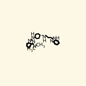 CN(C)c1nc(N[C@H]2CC[C@@H](CNCCCc3nc4ccccc4[nH]3)CC2)nc2ccccc12